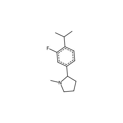 CC(C)c1ccc(C2CCCN2C)cc1F